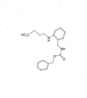 O=C(O)CCCNc1ccccc1CNC(=O)OCc1ccccc1